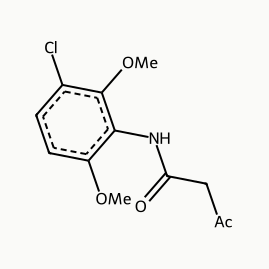 COc1ccc(Cl)c(OC)c1NC(=O)CC(C)=O